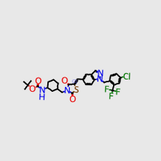 CC(C)(C)OC(=O)NC1CCCC(CN2C(=O)S/C(=C\c3ccc4c(cnn4Cc4ccc(Cl)cc4C(F)(F)F)c3)C2=O)C1